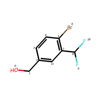 OCc1ccc(Br)c(C(F)F)c1